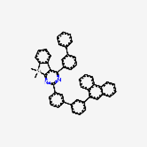 C[Si]1(C)c2ccccc2-c2c(-c3cccc(-c4ccccc4)c3)nc(-c3cccc(-c4cccc(-c5cc6ccccc6c6ccccc56)c4)c3)nc21